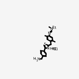 CCN(C)C=Nc1cc(C)c(Cc2nc(-c3ccc(CN)cc3)cs2)cc1C.Cl.Cl